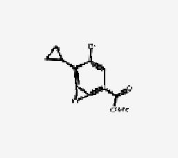 COC(=O)c1cc(Br)c(C2CC2)c2c1O2